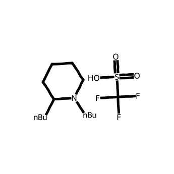 CCCCC1CCCCN1CCCC.O=S(=O)(O)C(F)(F)F